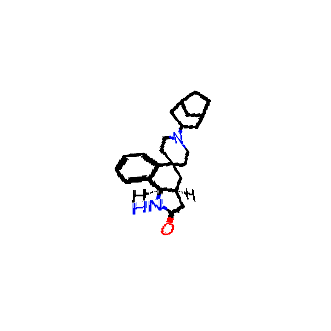 O=C1C[C@@H]2CC3(CCN(C4CC5CCC(C5)C4)CC3)c3ccccc3[C@@H]2N1